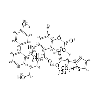 CCC(C)OC(=O)C(COC(=O)Oc1c(F)cc(NC(=O)c2ccccc2-c2ccc(C(F)(F)F)cc2)c(C(=O)NCCCO)c1F)(C(=O)O)c1cccs1